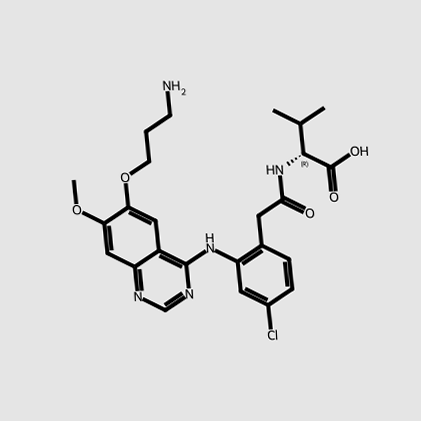 COc1cc2ncnc(Nc3cc(Cl)ccc3CC(=O)N[C@@H](C(=O)O)C(C)C)c2cc1OCCCN